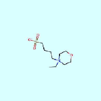 CC[N+]1(CCCCS(=O)(=O)[O-])CCOCC1